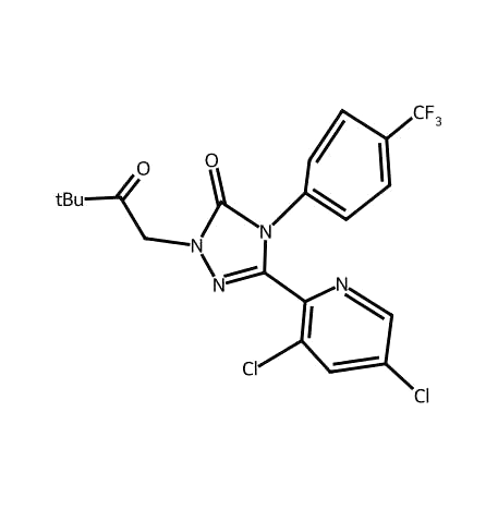 CC(C)(C)C(=O)Cn1nc(-c2ncc(Cl)cc2Cl)n(-c2ccc(C(F)(F)F)cc2)c1=O